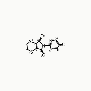 O=C1C2=C(SCCS2)C(=O)N1c1ccc(Cl)cn1